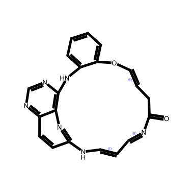 O=C1C/C=C/Oc2ccccc2Nc2ncnc3ccc(nc23)N/C=C/C=N/1